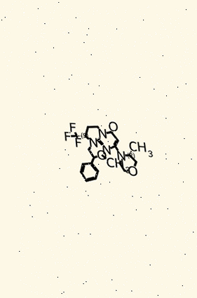 COC(CN1c2nc(N3CCOC[C@H]3C)cc(=O)n2CC[C@H]1C(F)(F)F)c1ccccc1